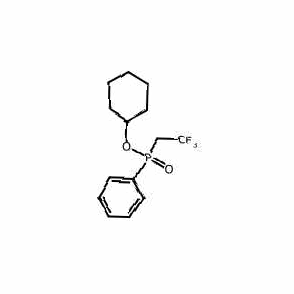 O=P(CC(F)(F)F)(OC1CCCCC1)c1ccccc1